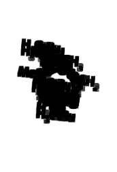 C=C1C2CC3O[C@H](CC(CO[Si](C)(C)C(C)(C)C)O[Si](C)(C)C(C)(C)C)[C@H](OC)C3CC(=O)CC3CC[C@@H]4O[C@@H](C(O[Si](C)(C)C(C)(C)C)/C=C/C(=O)CCC5CC(=C)[C@H](CC[C@@H](C[C@H]1C)O2)O5)C(O[Si](C)(C)C(C)(C)C)C(O[Si](C)(C)C(C)(C)C)[C@H]4O3